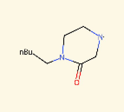 CCCCCN1CC[N]CC1=O